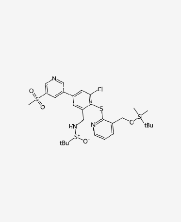 CC(C)(C)[S+]([O-])NCc1cc(-c2cncc(S(C)(=O)=O)c2)cc(Cl)c1Sc1ncccc1CO[Si](C)(C)C(C)(C)C